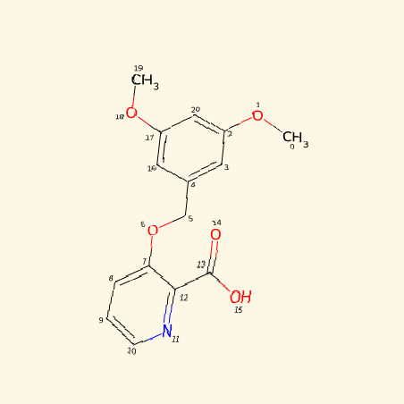 COc1cc(COc2cccnc2C(=O)O)cc(OC)c1